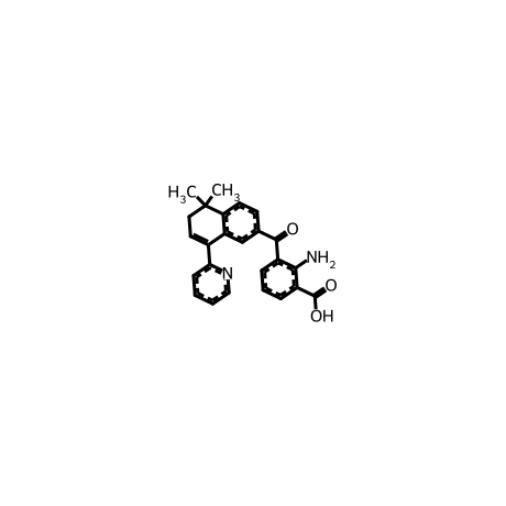 CC1(C)CC=C(c2ccccn2)c2cc(C(=O)c3cccc(C(=O)O)c3N)ccc21